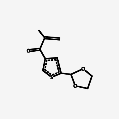 C=C(C)C(=O)c1csc(C2OCCO2)c1